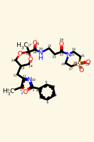 Cc1oc(-c2ccccc2)nc1CC1COC(C)(C(=O)NCCC(=O)N2CCS(=O)(=O)CC2)OC1